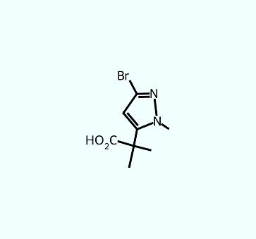 Cn1nc(Br)cc1C(C)(C)C(=O)O